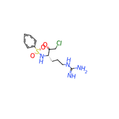 N=C(N)NCCC[C@H](NS(=O)(=O)c1ccccc1)C(=O)CCl